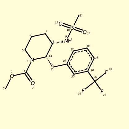 COC(=O)N1CCC[C@H](NS(C)(=O)=O)[C@@H]1Cc1cccc(C(F)(F)F)c1